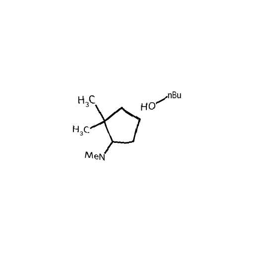 CCCCO.CNC1CCCC1(C)C